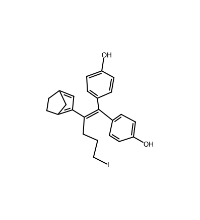 Oc1ccc(C(=C(CCCI)C2=C3CCC(=C2)C3)c2ccc(O)cc2)cc1